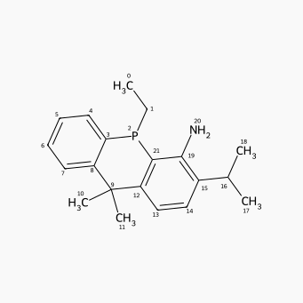 CCP1c2ccccc2C(C)(C)c2ccc(C(C)C)c(N)c21